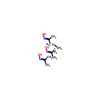 CC(C)=NO.CC(C)=NO.CC(C)=NO.CC[SiH3]